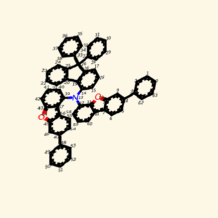 c1ccc(-c2ccc3c(c2)oc2c(N(c4cccc5c4-c4ccccc4C5(c4ccccc4)c4ccccc4)c4cccc5oc6cc(-c7ccccc7)ccc6c45)cccc23)cc1